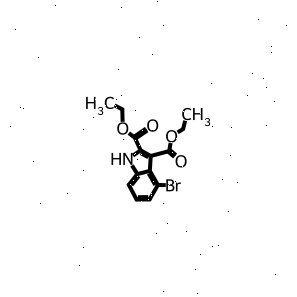 CCOC(=O)c1[nH]c2cccc(Br)c2c1C(=O)OCC